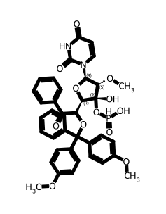 COc1ccc(C(OC(C(=O)c2ccccc2)[C@H]2O[C@@H](n3ccc(=O)[nH]c3=O)[C@H](OC)[C@]2(O)O[PH](=O)O)(c2ccccc2)c2ccc(OC)cc2)cc1